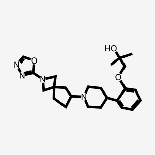 CC(C)(O)COc1ccccc1C1CCN(C2CCC3(C2)CN(c2nnco2)C3)CC1